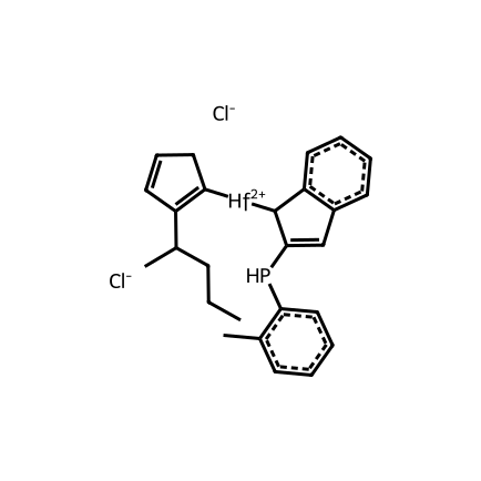 CCCC(C)C1=[C]([Hf+2][CH]2C(Pc3ccccc3C)=Cc3ccccc32)CC=C1.[Cl-].[Cl-]